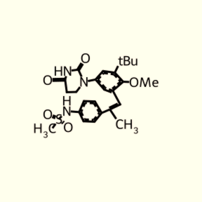 COc1c(/C=C(/C)c2ccc(NS(C)(=O)=O)cc2)cc(N2CCC(=O)NC2=O)cc1C(C)(C)C